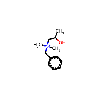 CC(O)C[N+](C)(C)Cc1ccccc1